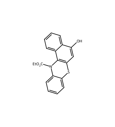 CCOC(=O)N1c2ccccc2Sc2cc(O)c3ccccc3c21